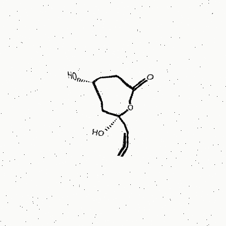 C=C[C@@]1(O)C[C@H](O)CC(=O)O1